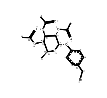 CC(=O)O[C@H]1[C@H](OC(C)=O)[C@H](Oc2ccc(CBr)cc2)O[C@@H](C)[C@H]1OC(C)=O